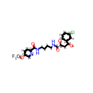 O=C(NCCCCNC(=O)[C@H]1CC(=O)c2cc(Cl)ccc2O1)c1ccc(OC(F)(F)F)cn1